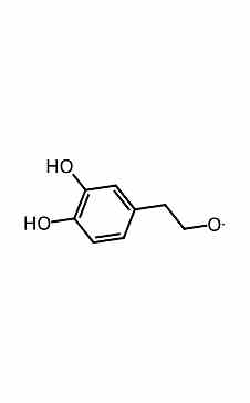 [O]CCc1ccc(O)c(O)c1